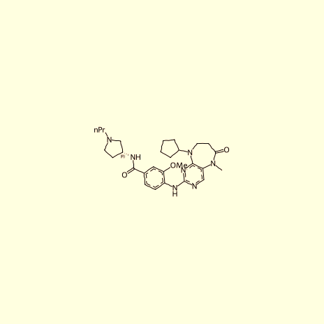 CCCN1CC[C@@H](NC(=O)c2ccc(Nc3ncc4c(n3)N(C3CCCC3)CCC(=O)N4C)c(OC)c2)C1